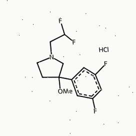 COC1(c2cc(F)cc(F)c2)CCN(CC(F)F)C1.Cl